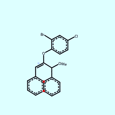 COC(/C(=C\c1cccnc1)Oc1ccc(Cl)cc1Br)c1ccccc1